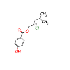 CC(C)C[C@H](Cl)COC(=O)c1ccc(O)cc1